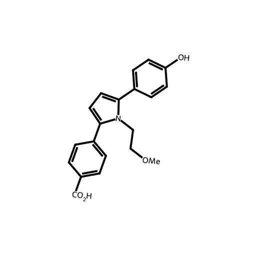 COCCn1c(-c2ccc(O)cc2)ccc1-c1ccc(C(=O)O)cc1